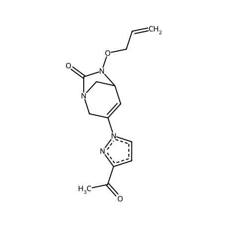 C=CCON1C(=O)N2CC(n3ccc(C(C)=O)n3)=CC1C2